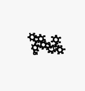 N#Cc1ccc(-n2c3ccccc3c3ccccc32)c(-c2ccc3oc4c(c3c2)C=CC2c3ccccc3N(c3ccccc3)C42)c1